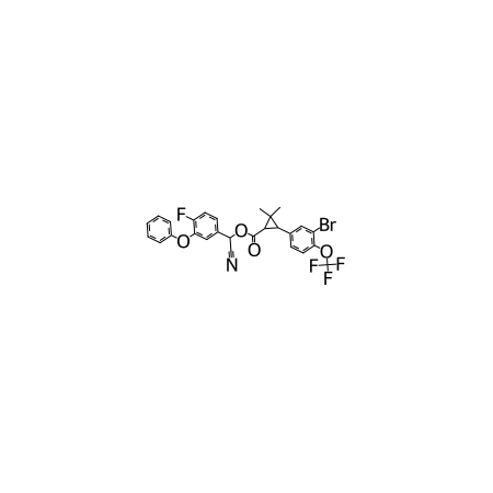 CC1(C)C(C(=O)OC(C#N)c2ccc(F)c(Oc3ccccc3)c2)C1c1ccc(OC(F)(F)F)c(Br)c1